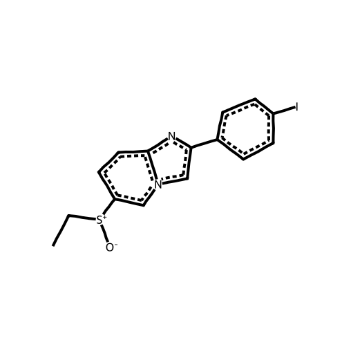 CC[S+]([O-])c1ccc2nc(-c3ccc(I)cc3)cn2c1